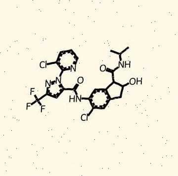 CC(C)NC(=O)C1c2cc(NC(=O)c3cc(C(F)(F)F)nn3-c3ncccc3Cl)c(Cl)cc2CC1O